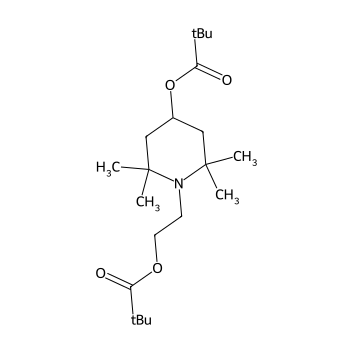 CC(C)(C)C(=O)OCCN1C(C)(C)CC(OC(=O)C(C)(C)C)CC1(C)C